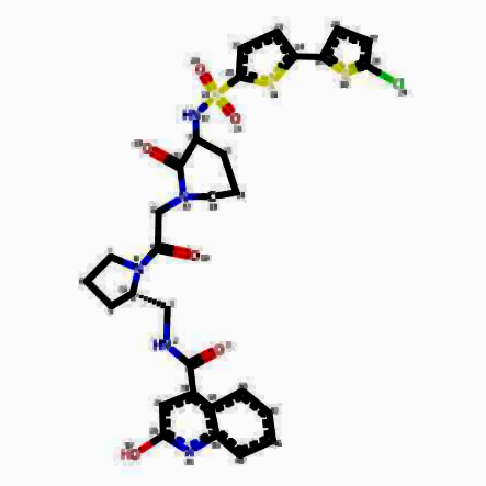 O=C(NC[C@@H]1CCCN1C(=O)CN1CCCC(NS(=O)(=O)c2ccc(-c3ccc(Cl)s3)s2)C1=O)c1cc(O)nc2ccccc12